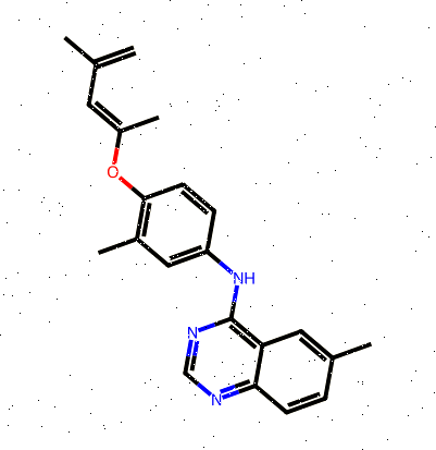 C=C(C)/C=C(\C)Oc1ccc(Nc2ncnc3ccc(C)cc23)cc1C